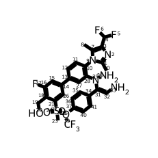 Cc1nc(C(F)F)c(C)n1-c1ccc(-c2cc(F)c(CO)c(S(C)(=O)=O)c2)cc1N(N)/C(=C\N)c1ccc(OC(F)(F)F)cc1